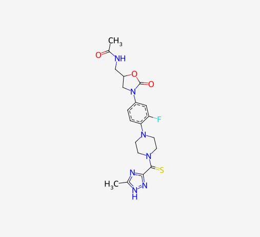 CC(=O)NCC1CN(c2ccc(N3CCN(C(=S)c4n[nH]c(C)n4)CC3)c(F)c2)C(=O)O1